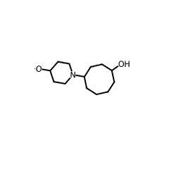 [O]C1CCN(C2CCCCC(O)CC2)CC1